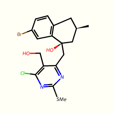 CSc1nc(Cl)c(CO)c(C[C@@]2(O)C[C@H](C)Cc3ccc(Br)cc32)n1